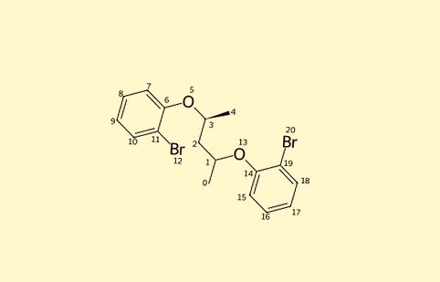 CC(C[C@H](C)Oc1ccccc1Br)Oc1ccccc1Br